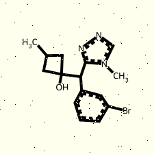 CC1CC(O)(C(c2cccc(Br)c2)c2nncn2C)C1